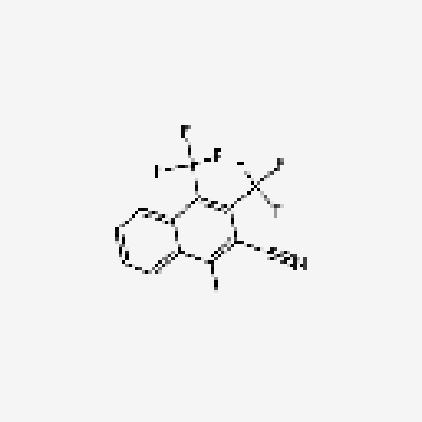 Cc1c(C#N)c(C(F)(F)F)c(C(F)(F)F)c2ccccc12